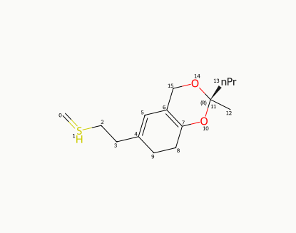 C=[SH]CCC1=CC2=C(CC1)O[C@](C)(CCC)OC2